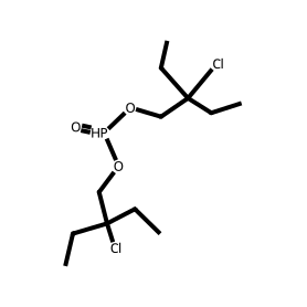 CCC(Cl)(CC)CO[PH](=O)OCC(Cl)(CC)CC